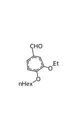 CCCCCCOc1ccc(C=O)cc1OCC